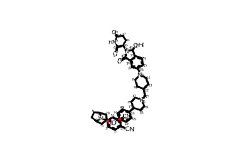 N#Cc1ccc(N2C3CCC2CC(Oc2ccc(C4CCN(CC5CCN(c6ccc7c(c6)C(=O)N(C6CCC(=O)NC6=O)C7O)CC5)CC4)cc2)C3)cc1Cl